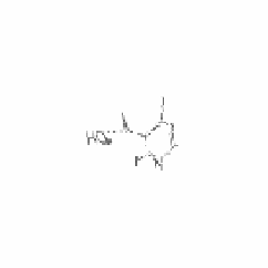 CC(O)c1c(I)ccnc1F